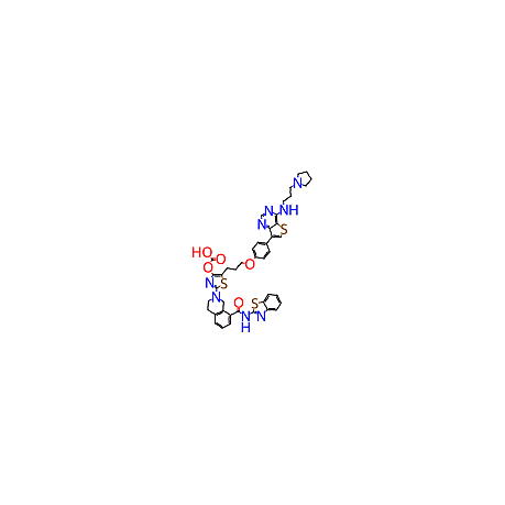 O=C(O)Oc1nc(N2CCc3cccc(C(=O)Nc4nc5ccccc5s4)c3C2)sc1CCCOc1ccc(-c2csc3c(NCCCN4CCCC4)ncnc23)cc1